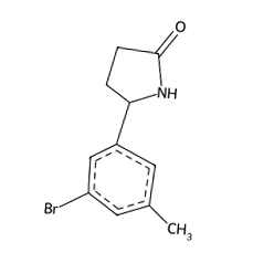 Cc1cc(Br)cc(C2CCC(=O)N2)c1